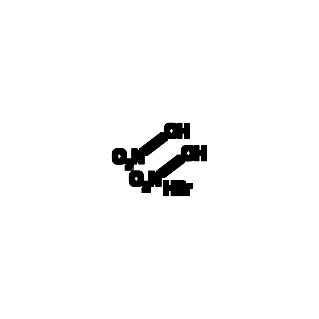 Br.O=[N+]([O-])O.O=[N+]([O-])O